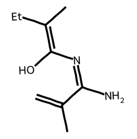 C=C(C)/C(N)=N\C(O)=C(/C)CC